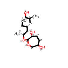 CC(CO)C[C@@H](CN=O)C[C@@H](C)OC1OCC(O)CC[C@@H]1O